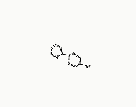 Brc1ccc(-c2c[c]ccn2)cc1